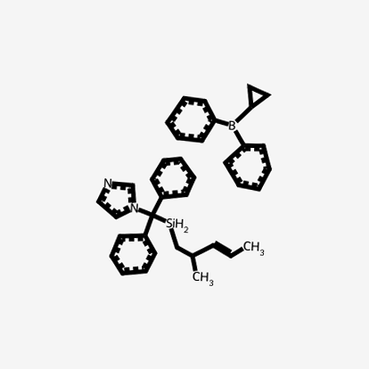 CC=CC(C)C[SiH2]C(c1ccccc1)(c1ccccc1)n1ccnc1.c1ccc(B(c2ccccc2)C2CC2)cc1